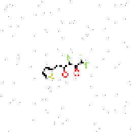 O=C(Cc1cccs1)C(F)C(=O)C(F)F